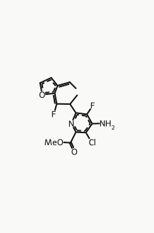 C/C=c1/cco/c1=C(\F)C(C)c1nc(C(=O)OC)c(Cl)c(N)c1F